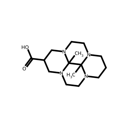 CC12N3CCCN1CCN1CC(C(=O)O)CN(CC3)C12C